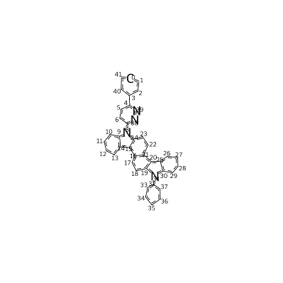 c1ccc(-c2ccc(-n3c4ccccc4c4c5ccc6c(c5ccc43)c3ccccc3n6-c3ccccc3)nn2)cc1